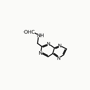 O=[C]NCc1ncc2nccnc2n1